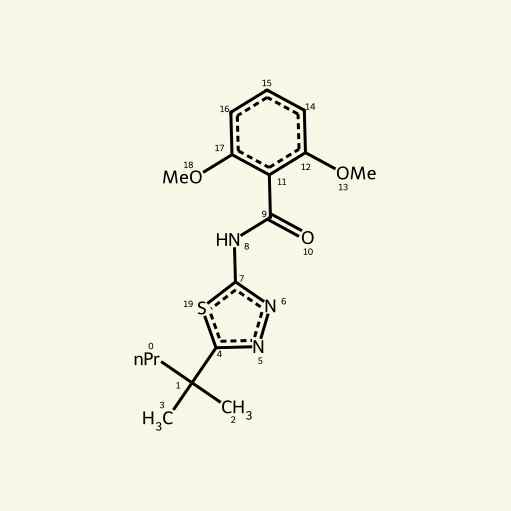 CCCC(C)(C)c1nnc(NC(=O)c2c(OC)cccc2OC)s1